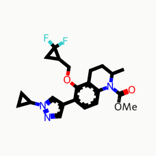 COC(=O)N1c2ccc(-c3cnn(C4CC4)c3)c(OCC3CC3(F)F)c2CCC1C